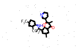 Cc1cc([C@@H](C)Nc2ccc(C(F)(F)F)cc2C(=O)O)c2oc(-c3cccnc3)c(C)c(=O)c2c1